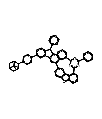 CC1(C)C2CCC(c3ccc(-c4ccc5c(c4)-c4cc(-c6ccc7oc8cccc(-c9nc(-c%10ccccc%10)nc(-c%10ccccc%10)n9)c8c7c6)ccc4C5c4ccccc4)cc3)C1C2